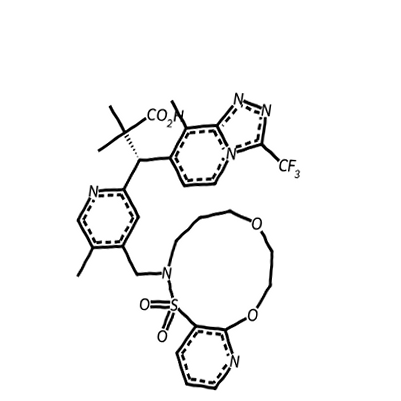 Cc1cnc([C@@H](c2ccn3c(C(F)(F)F)nnc3c2C)C(C)(C)C(=O)O)cc1CN1CCCOCCOc2ncccc2S1(=O)=O